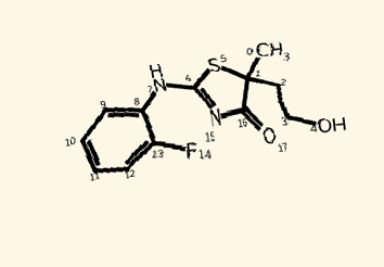 CC1(CCO)SC(Nc2ccccc2F)=NC1=O